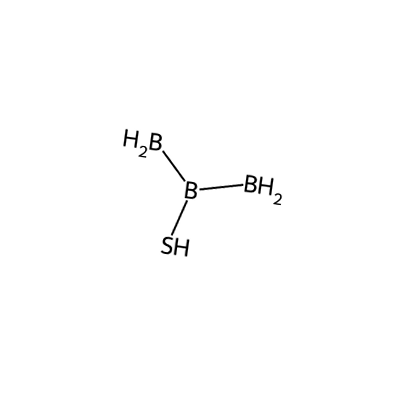 BB(B)S